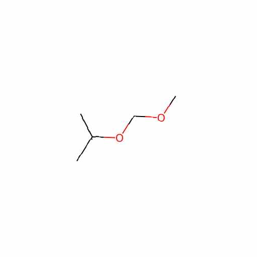 COCO[C](C)C